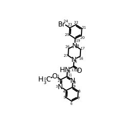 COc1nc2ccccc2nc1NC(=O)N1CCN(c2cccc(Br)c2)CC1